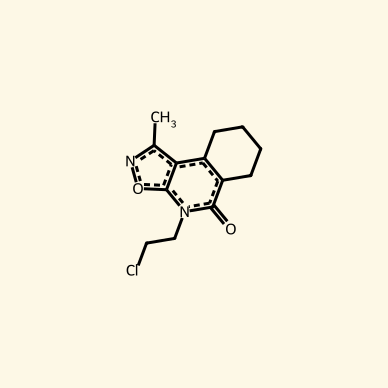 Cc1noc2c1c1c(c(=O)n2CCCl)CCCC1